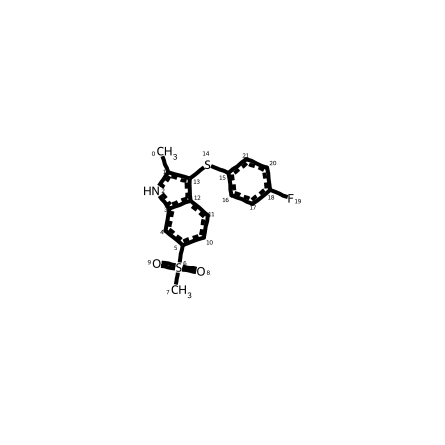 Cc1[nH]c2cc(S(C)(=O)=O)ccc2c1Sc1ccc(F)cc1